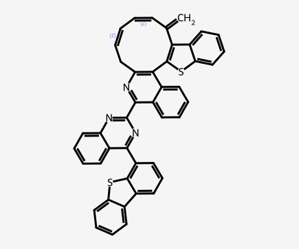 C=C1/C=C\C=C/Cc2nc(-c3nc(-c4cccc5c4sc4ccccc45)c4ccccc4n3)c3ccccc3c2-c2sc3ccccc3c21